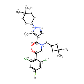 CC1(C)CC(CN(CC(=O)c2c(Cl)cc(F)cc2Cl)C(=O)c2cnn(C3CCC(C)(C(=O)O)CC3)c2C(F)(F)F)C1